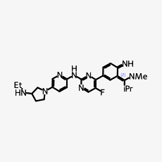 CCNC1CCN(c2ccc(Nc3ncc(F)c(C4=C/C(=C(/NC)C(C)C)C(=N)C=C4)n3)nc2)C1